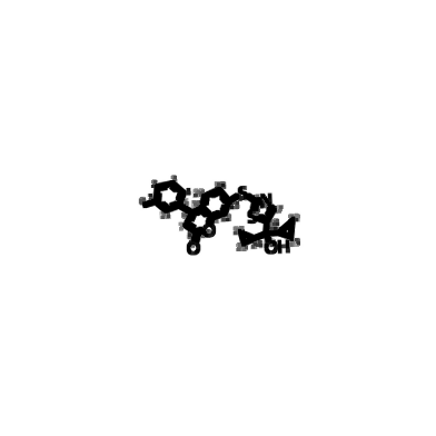 Cc1cccc(-c2cc(=O)oc3cc(Sc4ncc(C(O)(C5CC5)C5CC5)s4)ccc23)c1